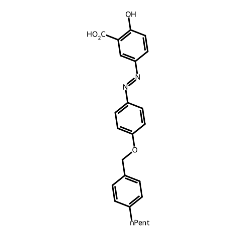 CCCCCc1ccc(COc2ccc(/N=N/c3ccc(O)c(C(=O)O)c3)cc2)cc1